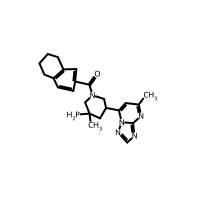 Cc1cc(C2CN(C(=O)c3ccc4c(c3)CCCC4)CC(C)(P)C2)n2ncnc2n1